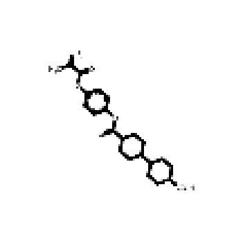 C=C(C)C(=O)Oc1ccc(OC(=O)C2CCC(C3CCC(C(=O)O)CC3)CC2)cc1